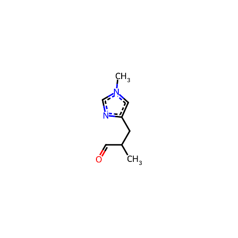 CC(C=O)Cc1cn(C)cn1